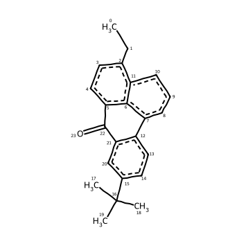 CCc1ccc2c3c(cccc13)-c1ccc(C(C)(C)C)cc1C2=O